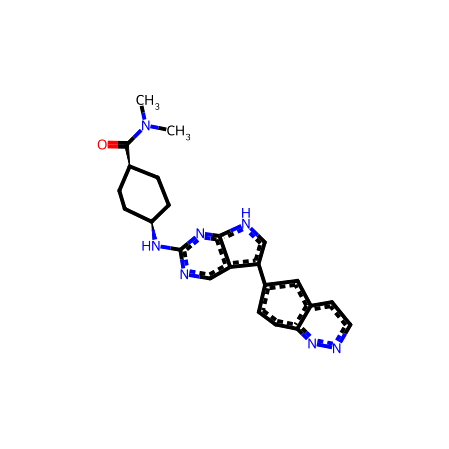 CN(C)C(=O)[C@H]1CC[C@@H](Nc2ncc3c(-c4ccc5nnccc5c4)c[nH]c3n2)CC1